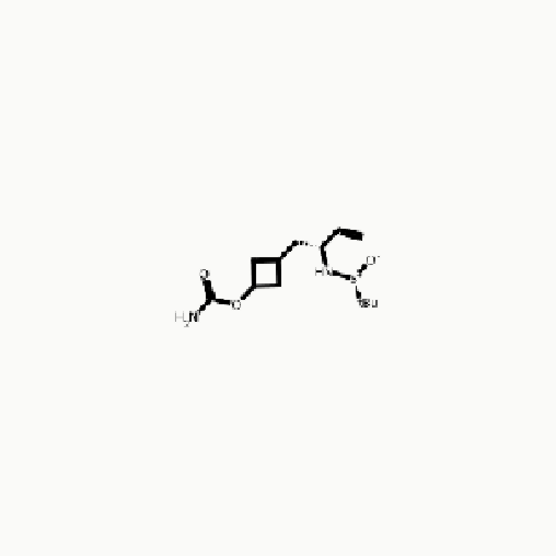 C=C[C@@H](CC1CC(OC(N)=O)C1)N[S@@+]([O-])C(C)(C)C